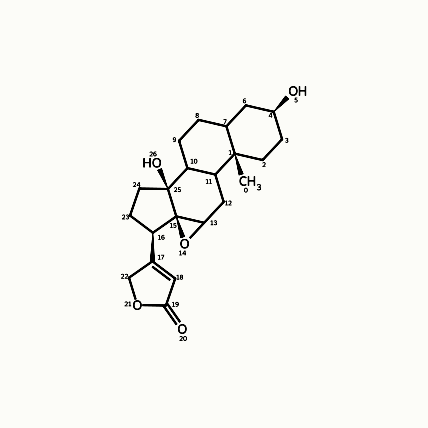 C[C@]12CC[C@H](O)CC1CCC1C2CC2O[C@]23[C@@H](C2=CC(=O)OC2)CC[C@]13O